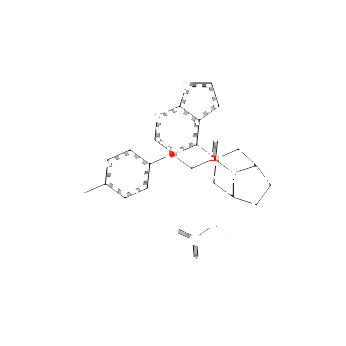 N[SH](=O)=O.O=C(COc1ccc(Cl)cc1)N1C2CCC1CN(c1ncnc3[nH]ccc13)C2